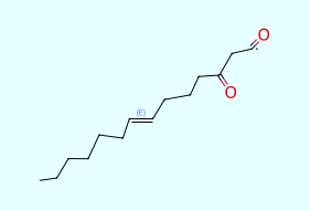 CCCCCC/C=C/CCCC(=O)C[C]=O